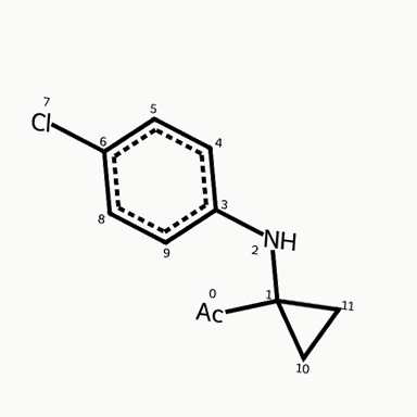 CC(=O)C1(Nc2ccc(Cl)cc2)CC1